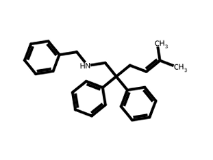 CC(C)=CCC(CNCc1ccccc1)(c1ccccc1)c1ccccc1